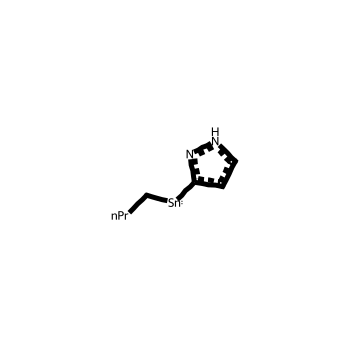 CCC[CH2][Sn][c]1cc[nH]n1